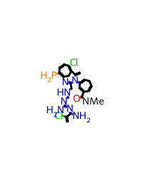 C=C(Cl)/C(N)=N\C(N)=N/CNCC1=NC2=C(P)C=CC(Cl)=C(C2)C(=C)N1C1=CCC=CC(C(=O)NC)=C1